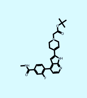 CNC(=O)c1ccc(-c2ccnc3[nH]c(C4=CCN(CC(=O)OC(C)(C)C)CC4)cc23)c(F)c1